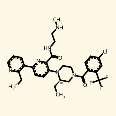 CCc1ncccc1-c1ccc(N2CCN(C(=O)c3ccc(Cl)cc3C(F)(F)F)C[C@H]2CC)c(C(=O)NCCNC)n1